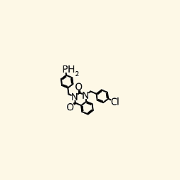 O=c1c2ccccc2n(Cc2ccc(Cl)cc2)c(=O)n1Cc1ccc(P)cc1